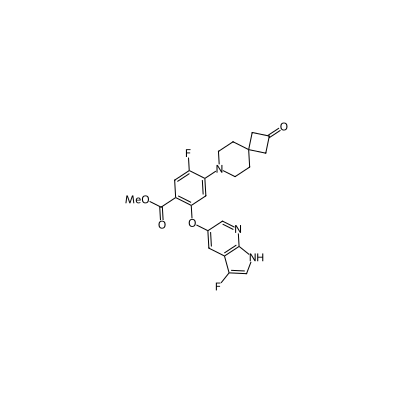 COC(=O)c1cc(F)c(N2CCC3(CC2)CC(=O)C3)cc1Oc1cnc2[nH]cc(F)c2c1